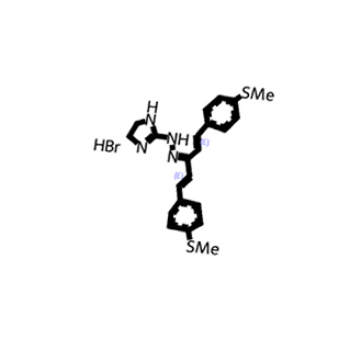 Br.CSc1ccc(/C=C/C(/C=C/c2ccc(SC)cc2)=NNC2=NCCN2)cc1